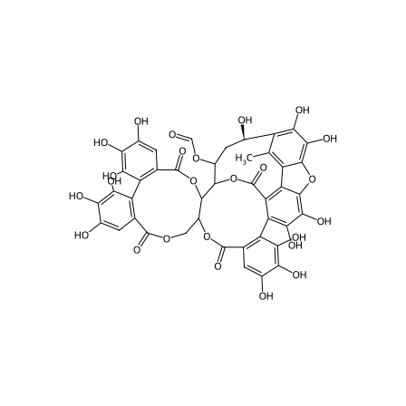 Cc1c2c(O)c(O)c3oc4c(O)c(O)c5c(c4c13)C(=O)OC(C(OC=O)C[C@H]2O)C1OC(=O)c2cc(O)c(O)c(O)c2-c2c(cc(O)c(O)c2O)C(=O)OCC1OC(=O)c1cc(O)c(O)c(O)c1-5